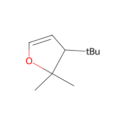 CC(C)(C)C1C=COC1(C)C